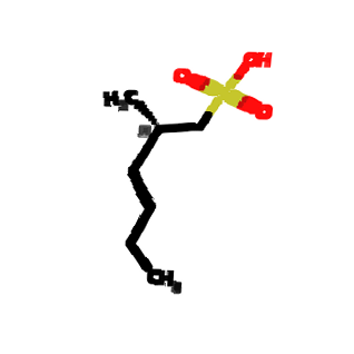 CCCC[C@H](C)CS(=O)(=O)O